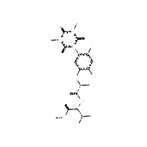 COC(=O)[C@@H](NC(=O)C(C)Oc1cc(-n2c(=O)n(C)c(=S)n(C)c2=O)c(F)cc1Cl)C(C)C